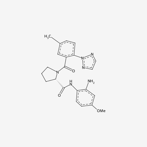 COc1ccc(NC(=O)[C@@H]2CCCN2C(=O)c2cc(C)ccc2-n2nccn2)c(N)c1